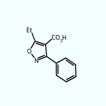 CCc1onc(-c2ccccc2)c1C(=O)O